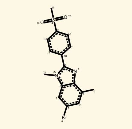 Cc1cc(Br)cc2c1nc(-c1ccc(S(C)(=O)=O)cc1)n2C